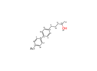 CC(=O)c1ccc(-c2ccc(CCCC(C)O)cc2)cc1